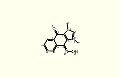 Cn1c[n+](C)c2c1C(=O)c1ccccc1/C2=N/O